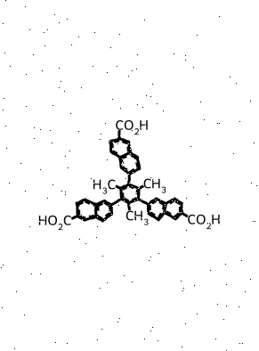 Cc1c(-c2ccc3cc(C(=O)O)ccc3c2)c(C)c(-c2ccc3cc(C(=O)O)ccc3c2)c(C)c1-c1ccc2cc(C(=O)O)ccc2c1